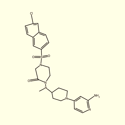 CN(C1CCN(c2ccnc(N)c2)CC1)N1CCN(S(=O)(=O)c2ccc3cc(Cl)ccc3c2)CC1=O